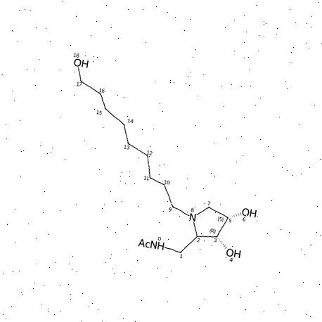 CC(=O)NCC1[C@@H](O)[C@@H](O)CN1CCCCCCCCCO